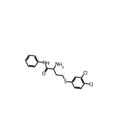 NC(CCSc1ccc(Cl)c(Cl)c1)C(=O)Nc1ccccc1